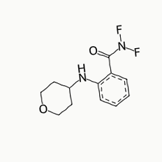 O=C(c1ccccc1NC1CCOCC1)N(F)F